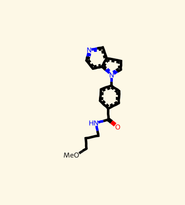 COCCCNC(=O)c1ccc(-n2ccc3cnccc32)cc1